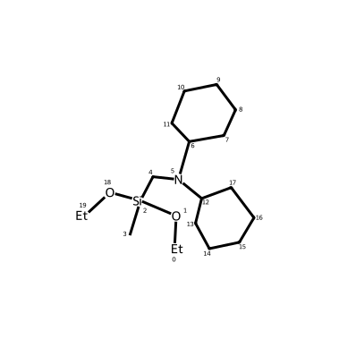 CCO[Si](C)(CN(C1CCCCC1)C1CCCCC1)OCC